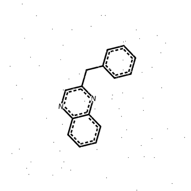 [c]1nc2ccccc2nc1Cc1ccccc1